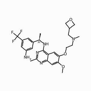 COc1cc2nc(C)nc(N[C@H](C)c3cc(N)cc(C(F)(F)F)c3)c2cc1OCCN(C)CC1COC1